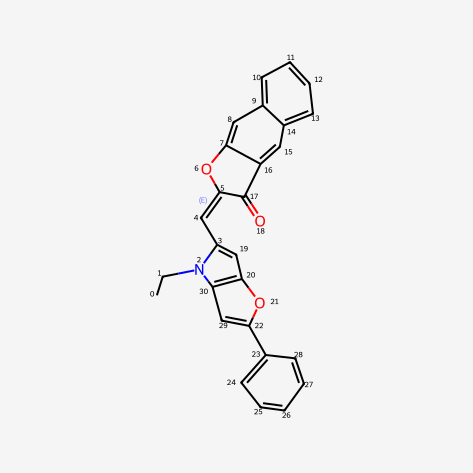 CCn1c(/C=C2/Oc3cc4ccccc4cc3C2=O)cc2oc(-c3ccccc3)cc21